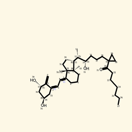 C=C1/C(=C\C=C2/CCC[C@]3(C)[C@@H]([C@H](C)[C@@H](O)CCCC4(C(=O)CCCCCC)CC4)CC[C@@H]23)C[C@@H](O)C[C@@H]1O